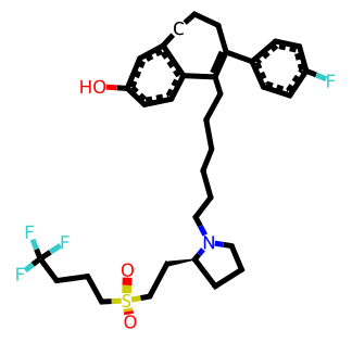 O=S(=O)(CCCC(F)(F)F)CC[C@@H]1CCCN1CCCCCCC1=C(c2ccc(F)cc2)CCCc2cc(O)ccc21